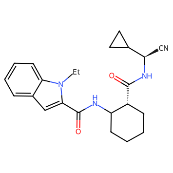 CCn1c(C(=O)NC2CCCC[C@H]2C(=O)N[C@H](C#N)C2CC2)cc2ccccc21